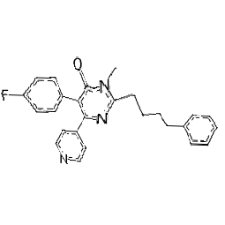 Cn1c(CCCCc2ccccc2)nc(-c2ccncc2)c(-c2ccc(F)cc2)c1=O